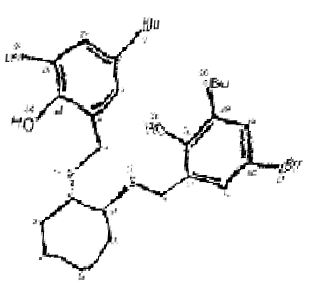 CC(C)(C)c1cc(CS[C@H]2CCCC[C@@H]2SCc2cc(C(C)(C)C)cc(C(C)(C)C)c2O)c(O)c(C(C)(C)C)c1